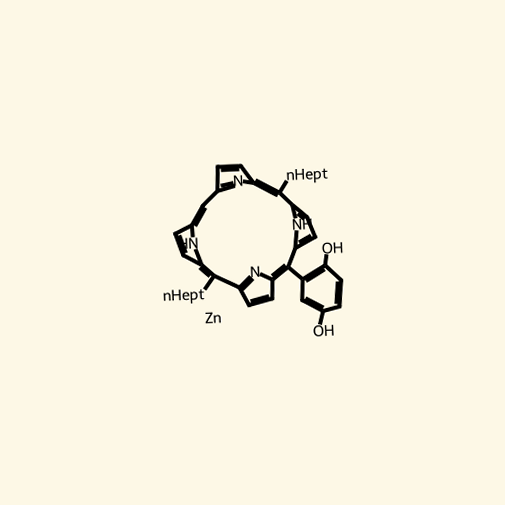 CCCCCCCc1c2nc(c(-c3cc(O)ccc3O)c3ccc([nH]3)c(CCCCCCC)c3nc(cc4ccc1[nH]4)C=C3)C=C2.[Zn]